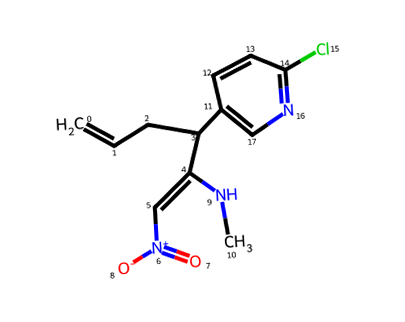 C=CCC(C(=C[N+](=O)[O-])NC)c1ccc(Cl)nc1